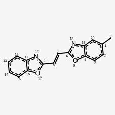 Cc1ccc2oc(/C=C/c3nc4ccccc4o3)nc2c1